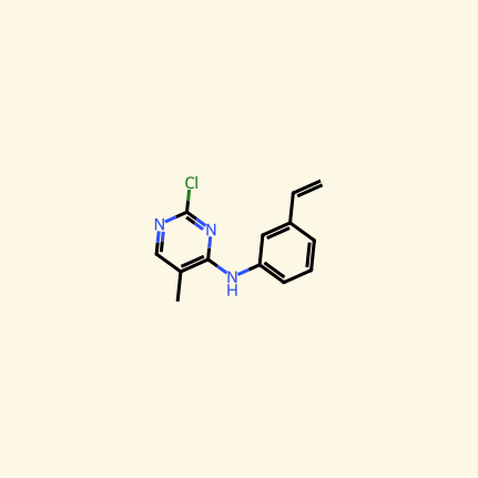 C=Cc1cccc(Nc2nc(Cl)ncc2C)c1